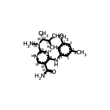 Cc1cc(C)cc(Nc2nc(N(N)[C@H](C)C(C)C=O)ncc2C(N)=O)c1